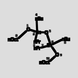 CCCCCCCC[O][Sn]([CH2]CC)([CH2]CCC)[O][Sn]([CH2]CC)([CH2]CCC)[O]CCCCCCCC